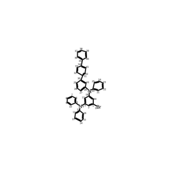 Brc1cc(N(c2ccccc2)c2ccccc2)cc(N(c2ccccc2)c2cccc(-c3ccc(-c4ccccc4)cc3)c2)c1